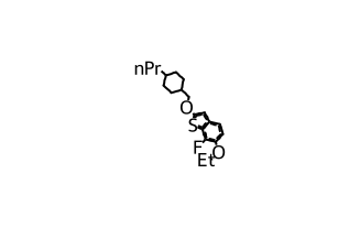 CCCC1CCC(COc2cc3ccc(OCC)c(F)c3s2)CC1